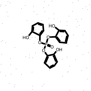 O=P(Oc1ccccc1O)(Oc1ccccc1O)Oc1ccccc1O